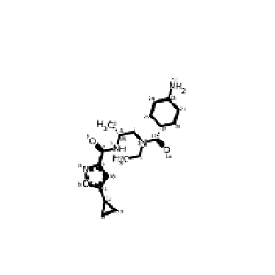 CCN(C[C@@H](C)NC(=O)c1cc(C2CC2)on1)C(=O)[C@H]1CC[C@H](N)CC1